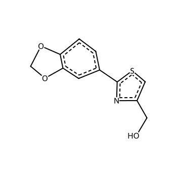 OCc1csc(-c2ccc3c(c2)OCO3)n1